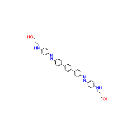 OCCCNc1ccc(/N=N/c2ccc(-c3ccc(-c4ccc(/N=N/c5ccc(NCCCO)cc5)cc4)cc3)cc2)cc1